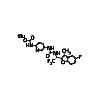 Cc1c([C@@H](NC(=O)Nc2ccc(NC(=O)OC(C)(C)C)nc2)C(F)(F)F)oc2ccc(F)cc12